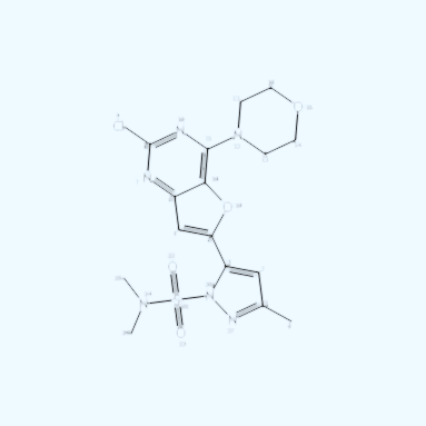 Cc1cc(-c2cc3nc(Cl)nc(N4CCOCC4)c3o2)n(S(=O)(=O)N(C)C)n1